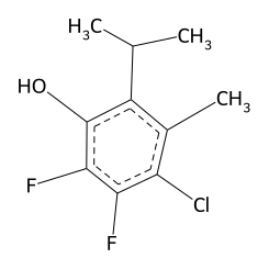 Cc1c(Cl)c(F)c(F)c(O)c1C(C)C